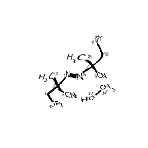 CC(C)CC(C)(C#N)N=NC(C)(C#N)CC(C)C.CO